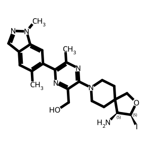 Cc1cc2cnn(C)c2cc1-c1nc(CO)c(N2CCC3(CC2)CO[C@@H](I)[C@H]3N)nc1C